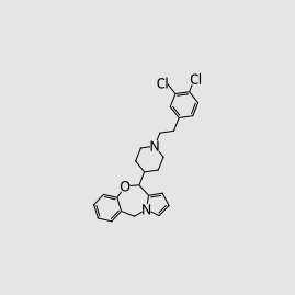 Clc1ccc(CCN2CCC(C3Oc4ccccc4Cn4cccc43)CC2)cc1Cl